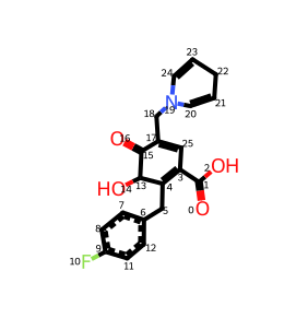 O=C(O)C1=C(Cc2ccc(F)cc2)C(O)C(=O)C(CN2C=CCC=C2)=C1